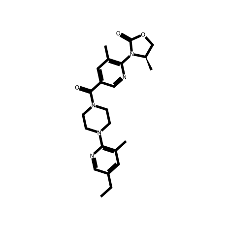 CCc1cnc(N2CCN(C(=O)c3cnc(N4C(=O)OC[C@H]4C)c(C)c3)CC2)c(C)c1